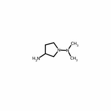 CN(C)N1CCC(N)C1